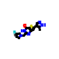 Cc1[nH]ncc1-c1cc2nc(CN3CC[C@@H](F)C3)[nH]c(=O)c2s1